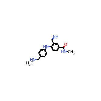 CNCc1ccc(Nc2ccc(C(=O)NC)cc2C=N)cc1